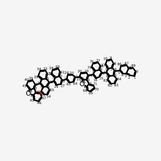 c1ccc2cc(-c3c4ccccc4c(-c4ccc(-c5ccc(-c6ccc(-c7ccc(-c8c9ccccc9c(-c9cccc%10oc%11ccccc%11c9%10)c9ccccc89)c8ccccc78)cc6)c6oc7ccccc7c56)c5ccccc45)c4ccccc34)ccc2c1